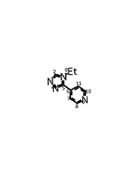 CCn1cnnc1-c1ccncc1